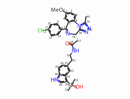 COc1ccc2c(c1)C(c1ccc(Cl)cc1)=N[C@@H](CC(=O)NCCc1ccc3[nH]cc([Si](C)(C)O)c3c1)c1nnc(C)n1-2